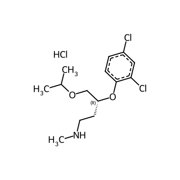 CNCC[C@H](COC(C)C)Oc1ccc(Cl)cc1Cl.Cl